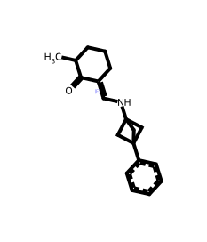 CC1CCC/C(=C\NC23CC(c4ccccc4)(C2)C3)C1=O